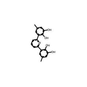 Cc1cc(O)c(O)c(-c2cccc(-c3cc(C)cc(O)c3O)n2)c1